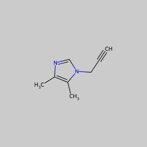 C#CCn1cnc(C)c1C